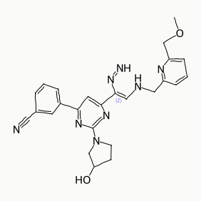 COCc1cccc(CN/C=C(\N=N)c2cc(-c3cccc(C#N)c3)nc(N3CCC(O)C3)n2)n1